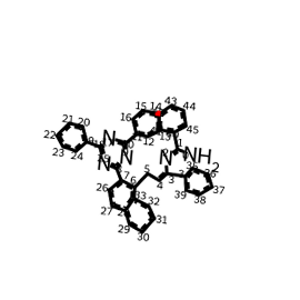 N/C(=N\C(=C/Cc1c(-c2nc(-c3ccccc3)nc(-c3ccccc3)n2)ccc2ccccc12)c1ccccc1)c1ccccc1